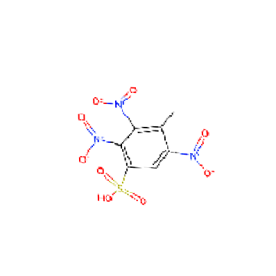 Cc1c([N+](=O)[O-])cc(S(=O)(=O)O)c([N+](=O)[O-])c1[N+](=O)[O-]